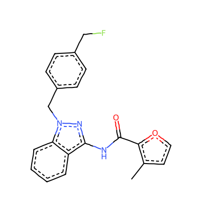 Cc1ccoc1C(=O)Nc1nn(Cc2ccc(CF)cc2)c2ccccc12